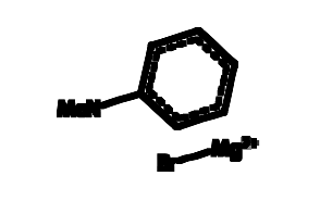 CNc1ccccc1.[Mg+2][Br]